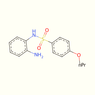 CCCOc1ccc(S(=O)(=O)Nc2ccccc2N)cc1